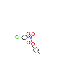 Cc1ccc(COC(=O)Cn2c(=O)oc3cc(Cl)ccc32)cc1